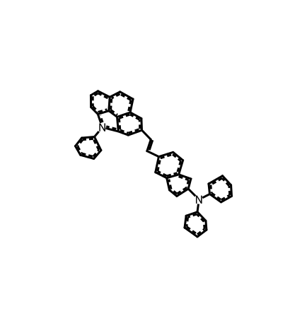 C(=C\c1cc2ccc3cccc4c3c2c(c1)n4-c1ccccc1)/c1ccc2cc(N(c3ccccc3)c3ccccc3)ccc2c1